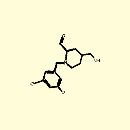 O=CC1CC(CO)CCN1Cc1cc(Cl)cc(Cl)c1